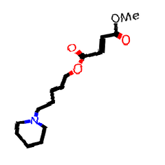 COC(=O)/C=C/C(=O)OCCCCCN1CCCCC1